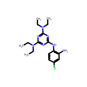 CCN(CC)c1nc(Nc2ccc(Cl)cc2N)nc(N(CC)CC)n1